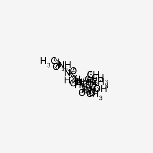 CCC(=O)NCCNC(=O)CCC(=O)NCCC(=O)N(C)C(C)(O[Si](C)(C)C(C)(C)C)C(=O)O